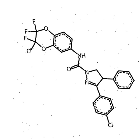 O=C(Nc1ccc2c(c1)OC(F)(Cl)C(F)(F)O2)N1CC(c2ccccc2)C(c2ccc(Cl)cc2)=N1